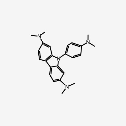 CN(C)c1ccc(-n2c3cc(N(C)C)ccc3c3ccc(N(C)C)cc32)cc1